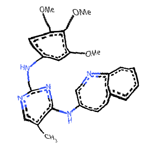 COc1cc(Nc2ncc(C)c(Nc3cnc4ccccc4c3)n2)cc(OC)c1OC